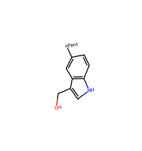 CCCCCc1ccc2[nH]cc(CO)c2c1